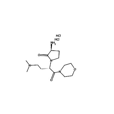 CN(C)CC[C@@H](C(=O)N1CCOCC1)N1CC[C@H](N)C1=O.Cl.Cl